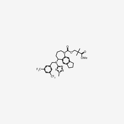 COC(=O)C(C)(C)COC(=O)N1CCCC(N(Cc2cc(C(F)(F)F)cc(C(F)(F)F)c2)c2nnn(C)n2)c2cc3c(cc21)CCC3